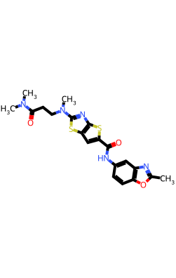 Cc1nc2cc(NC(=O)c3cc4sc(N(C)CCC(=O)N(C)C)nc4s3)ccc2o1